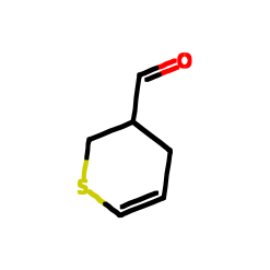 O=CC1CC=CSC1